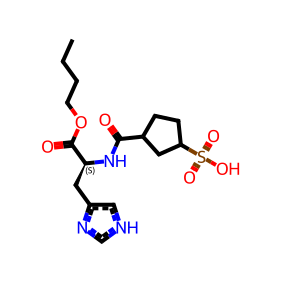 CCCCOC(=O)[C@H](Cc1c[nH]cn1)NC(=O)C1CCC(S(=O)(=O)O)C1